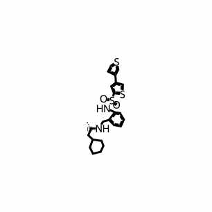 C[C@@H](CC1CCCCC1)NCc1ccccc1NS(=O)(=O)c1cc(-c2ccsc2)cs1